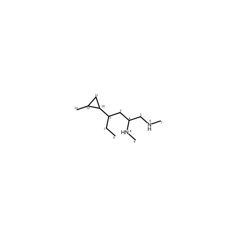 CCC(CC(CNC)NC)C1CC1C